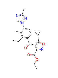 CCOC(=O)c1noc(C2CC2)c1C(=O)c1ccc(-n2cnc(C)n2)c(C)c1CC